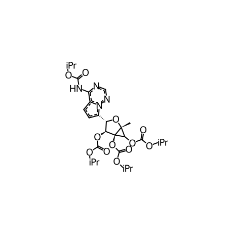 CC(C)OC(=O)Nc1ncnn2c([C@@H]3O[C@]4(C)C(OC(=O)OC(C)C)[C@]4(OC(=O)OC(C)C)[C@H]3OC(=O)OC(C)C)ccc12